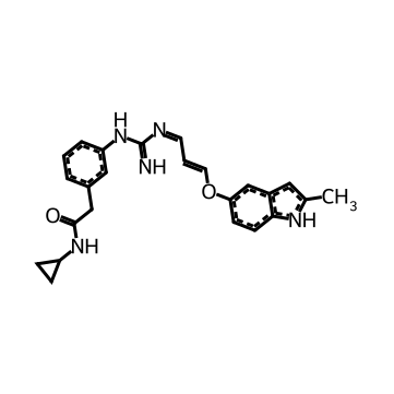 Cc1cc2cc(O/C=C/C=N\C(=N)Nc3cccc(CC(=O)NC4CC4)c3)ccc2[nH]1